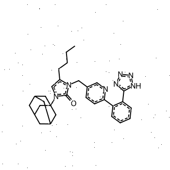 CCCCc1cn(C23CC4CC(CC(C4)C2)C3)c(=O)n1Cc1ccc(-c2ccccc2-c2nnn[nH]2)nc1